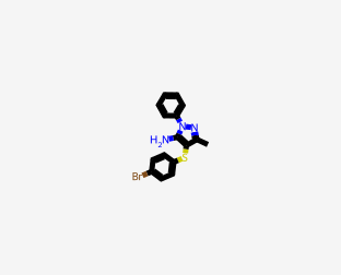 Cc1nn(-c2ccccc2)c(N)c1Sc1ccc(Br)cc1